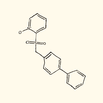 O=S(=O)(Cc1ccc(-c2ccccc2)cc1)c1cccc[n+]1[O-]